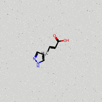 CC=CC(=O)O.c1cn[nH]c1